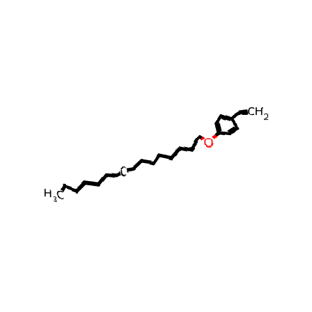 C=Cc1ccc(OCCCCCCCCCCCCCCCC)cc1